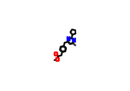 COC(=O)Cc1ccc(Cc2cc(C)nc(C3CCCC3)n2)cc1